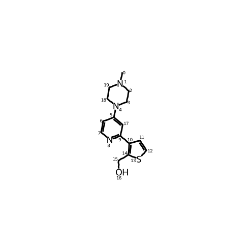 CN1CCN(c2ccnc(-c3ccsc3CO)c2)CC1